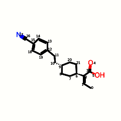 CC=C(C(=O)O)[C@H]1CC[C@H](CCc2ccc(C#N)cc2)CC1